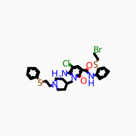 Nc1c(Cl)cc(C(=O)Nc2ccccc2SCCBr)c(=O)n1CC1CCN(CCSc2ccccc2)CC1